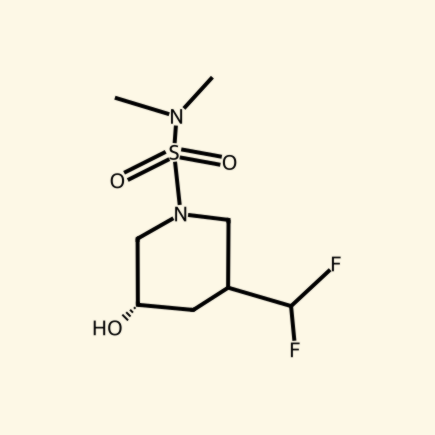 CN(C)S(=O)(=O)N1CC(C(F)F)C[C@H](O)C1